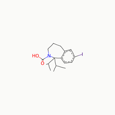 CC(C)C1(C(C)C)c2ccc(I)cc2CCCN1C(=O)O